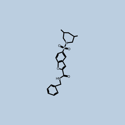 CC1CC(C)CN(S(=O)(=O)c2ccc3oc(C(=O)NCc4ccccc4)cc3c2)C1